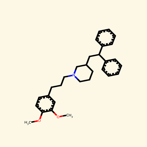 COc1ccc(CCCN2CCCC(CC(c3ccccc3)c3ccccc3)C2)cc1OC